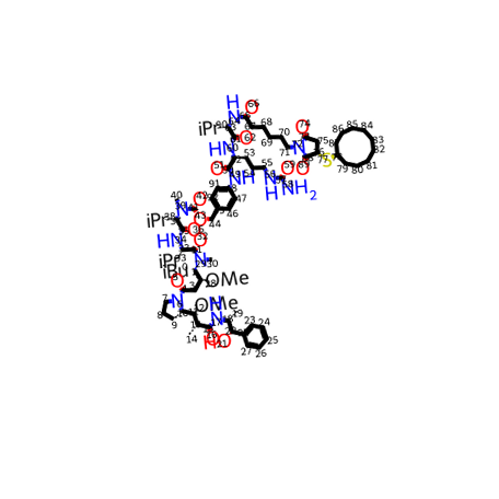 CC[C@H](C)[C@@H]([C@@H](CC(=O)N1CCC[C@H]1[C@H](OC)[C@@H](C)C(=O)N[C@H](C)[C@@H](O)c1ccccc1)OC)N(C)C(=O)[C@@H](NC(=O)[C@H](C(C)C)N(C)C(=O)OCc1ccc(NC(=O)[C@H](CCCNC(N)=O)NC(=O)[C@@H](NC(=O)CCCCCN2C(=O)C[C@@H](SC3CCCCCCCCC3)C2=O)C(C)C)cc1)C(C)C